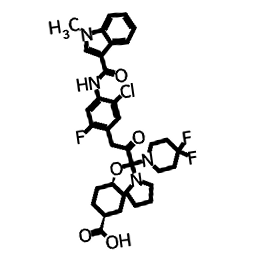 Cn1cc(C(=O)Nc2cc(F)c(CC(=O)C(O[C@H]3CC[C@H](C(=O)O)CC3)(N3CCCC3)N3CCC(F)(F)CC3)cc2Cl)c2ccccc21